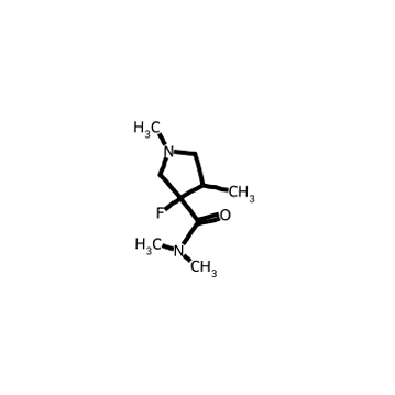 CC1CN(C)CC1(F)C(=O)N(C)C